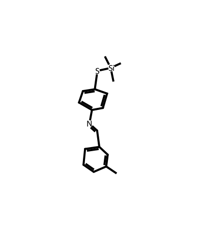 Cc1cccc(/C=N/c2ccc(S[Si](C)(C)C)cc2)c1